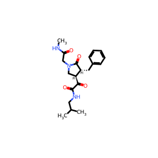 CNC(=O)CN1C[C@H](C(=O)C(=O)NCC(C)C)[C@@H](Cc2ccccc2)C1=O